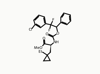 CCC1(C[C@H](NC(=O)OC(c2ccccc2)C(F)(F)c2cccc(Cl)c2)C(=O)OC)CC1